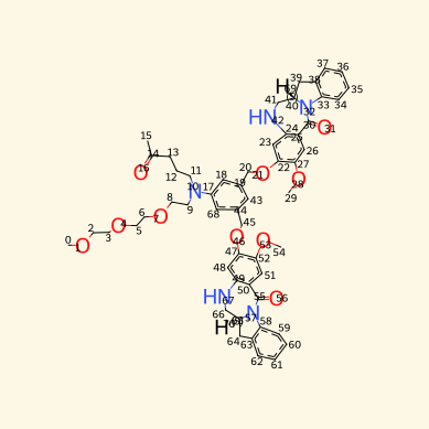 COCCOCCOCCN(CCCC(C)=O)c1cc(COc2cc3c(cc2OC)C(=O)N2c4ccccc4C[C@H]2CN3)cc(COc2cc3c(cc2OC)C(=O)N2c4ccccc4C[C@H]2CN3)c1